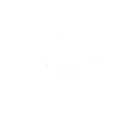 CCC1=Cc2c(ccc(CC)c2-c2ccccc2)[CH]1[Zr]([Cl])([Cl])([c]1cccc2c1[SiH2]c1ccccc1-2)[CH]1C(CC)=Cc2c1ccc(CC)c2-c1ccccc1